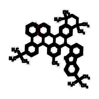 Cc1cc2c3c(c1)N(c1cccc4c1oc1ccc(C(C)(C)C)cc14)c1cc4c(cc1B3c1ccc(Cl)cc1N2c1ccc(C(C)(C)C)cc1-c1ccccc1)C(C)(C)CCC4(C)C